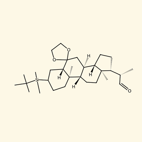 C[C@H](C=O)[C@H]1CC[C@H]2[C@@H]3CC4(OCCO4)[C@H]4CC([Si](C)(C)C(C)(C)C)CC[C@]4(C)[C@H]3CC[C@]12C